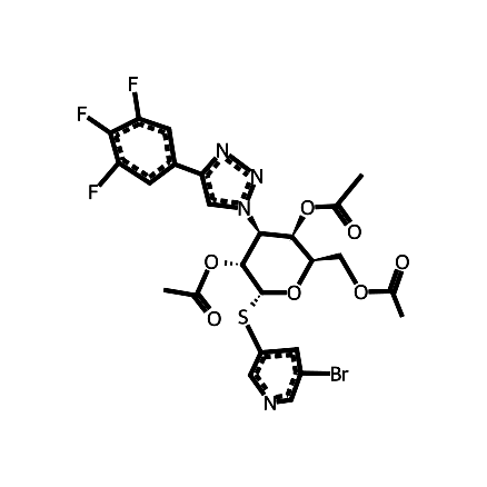 CC(=O)OC[C@H]1O[C@H](Sc2cncc(Br)c2)[C@H](OC(C)=O)[C@@H](n2cc(-c3cc(F)c(F)c(F)c3)nn2)[C@H]1OC(C)=O